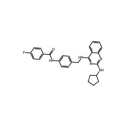 O=C(Nc1ccc(CNc2nc(NC3CCCC3)nc3ccccc23)cc1)c1ccc(F)cc1